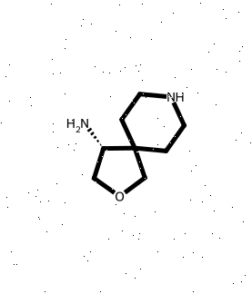 N[C@H]1COCC12CCNCC2